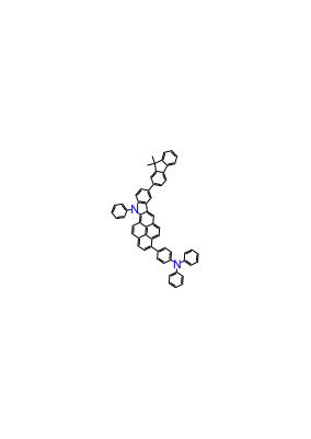 CC1(C)c2ccccc2-c2ccc(-c3ccc4c(c3)c3cc5ccc6c(-c7ccc(N(c8ccccc8)c8ccccc8)cc7)ccc7ccc(c5c76)c3n4-c3ccccc3)cc21